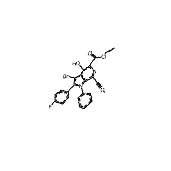 CCOC(=O)c1nc(C#N)c2c(c1O)c(Br)c(-c1ccc(F)cc1)n2-c1ccccc1